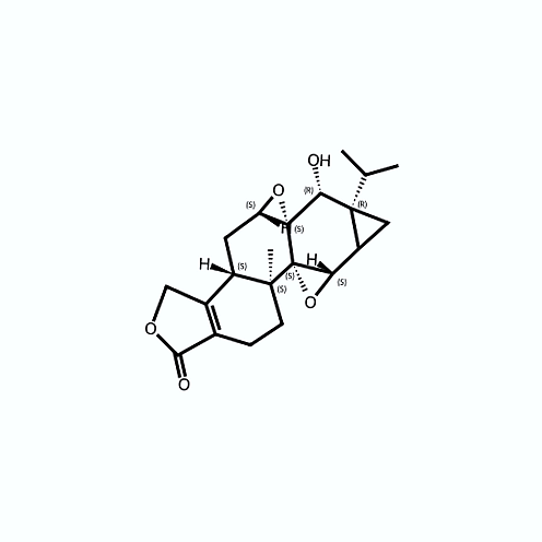 CC(C)[C@]12CC1[C@@H]1O[C@]13[C@]1(O[C@H]1C[C@H]1C4=C(CC[C@@]13C)C(=O)OC4)[C@@H]2O